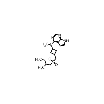 CCC(C)CS(=O)(=O)CC1CC(N(C)c2ncnc3[nH]ccc23)C1